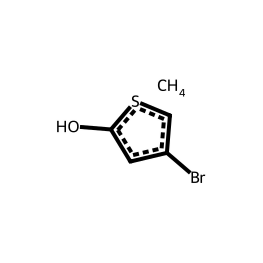 C.Oc1cc(Br)cs1